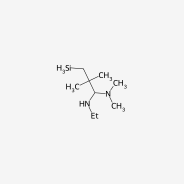 CCNC(N(C)C)C(C)(C)C[SiH3]